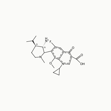 COc1c(C2[C@@H](N)[C@H](C(C)C)CCN2C)c(F)cc2c(=O)c(C(=O)O)cn(C3CC3)c12